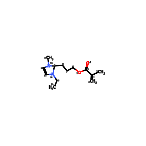 C=C(C)C(=O)OCCCC1N(C)C=CN1CC